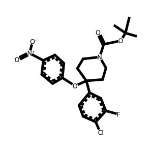 CC(C)(C)OC(=O)N1CCC(Oc2ccc([N+](=O)[O-])cc2)(c2ccc(Cl)c(F)c2)CC1